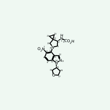 O=C(O)N[C@H]1CN(c2c([N+](=O)[O-])ccc3c2cnn3[C@H]2CCOC2)CC12CC2